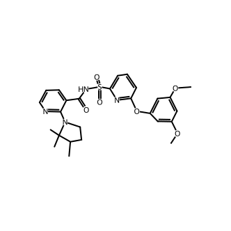 COc1cc(OC)cc(Oc2cccc(S(=O)(=O)NC(=O)c3cccnc3N3CCC(C)C3(C)C)n2)c1